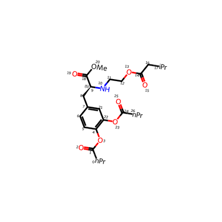 CCCC(=O)Oc1ccc(C[C@H](NCCOC(=O)CC(C)C)C(=O)OC)cc1OC(=O)CCC